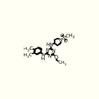 CCOc1nc(Nc2ccc(C)c(C)c2)nc(NC2CCN(S(C)(=O)=O)CC2)n1